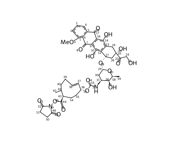 COc1cccc2c1C(=O)c1c(O)c3c(c(O)c1C2=O)C[C@@](O)(C(=O)CO)C[C@@H]3O[C@H]1C[C@H](NC(=O)O[C@H]2/C=C/CCC(C)[C@H](C(=O)ON3C(=O)CCC3=O)CC2)[C@H](O)[C@H](C)O1